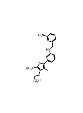 Cc1c(-c2cccc(NCc3cccc([N+](=O)[O-])c3)c2)sc(C(=O)O)c1OCC(=O)O